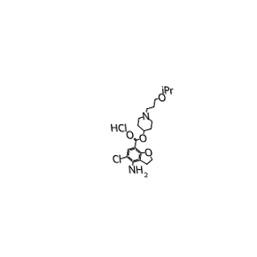 CC(C)OCCCN1CCC(OC(=O)c2cc(Cl)c(N)c3c2OCC3)CC1.Cl